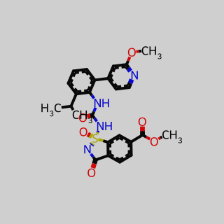 COC(=O)c1ccc2c(c1)S(=O)(NC(=O)Nc1c(-c3ccnc(OC)c3)cccc1C(C)C)=NC2=O